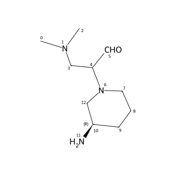 CN(C)CC(C=O)N1CCC[C@@H](N)C1